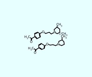 CC(=O)c1ccc(OCCCN2CCCC(C)C2)cc1.CC(=O)c1ccc(OCCCN2C[C@@H](C)C[C@H](C)C2)cc1